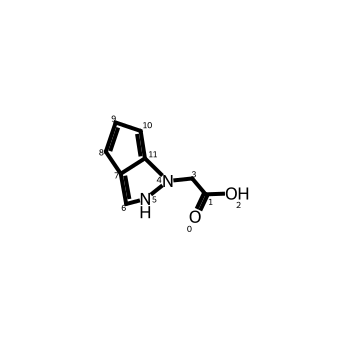 O=C(O)Cn1[nH]cc2cccc1-2